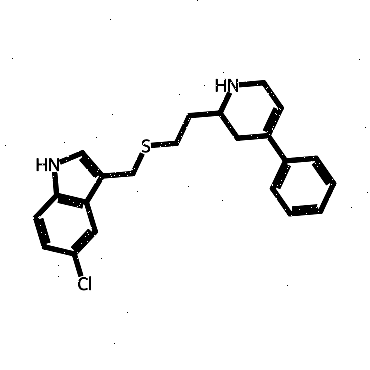 Clc1ccc2[nH]cc(CSCCC3CC(c4ccccc4)=CCN3)c2c1